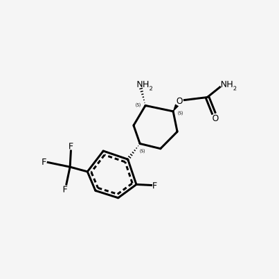 NC(=O)O[C@H]1CC[C@H](c2cc(C(F)(F)F)ccc2F)C[C@@H]1N